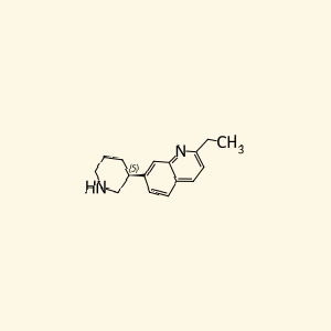 CCc1ccc2ccc([C@@H]3CCCNC3)cc2n1